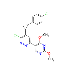 COc1ncc(-c2cc(C3CC3c3ccc(Cl)cc3)c(Cl)nn2)c(OC)n1